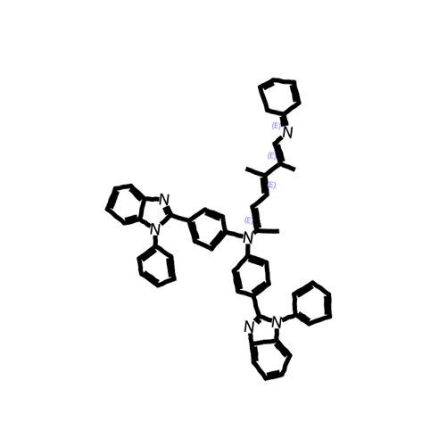 CC(=C\C=C(/C)N(c1ccc(-c2nc3ccccc3n2-c2ccccc2)cc1)c1ccc(-c2nc3ccccc3n2-c2ccccc2)cc1)/C(C)=C/N=C1/C=CC=CC1